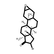 C[C@]12CC3OC3CC1CC[C@@H]1[C@H]2CC[C@]2(C)C(=O)C(Br)C[C@@H]12